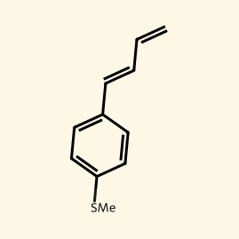 C=C/C=C/c1ccc(SC)cc1